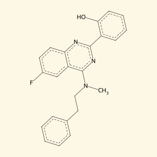 CN(CCc1ccccc1)c1nc(-c2ccccc2O)nc2ccc(F)cc12